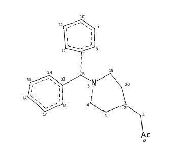 CC(=O)CC1CCN(C(c2ccccc2)c2ccccc2)CC1